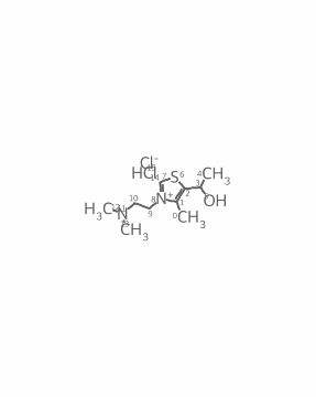 Cc1c(C(C)O)sc[n+]1CCN(C)C.Cl.[Cl-]